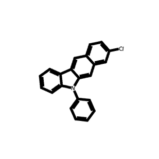 Clc1ccc2cc3c4ccccc4n(-c4ccccc4)c3cc2c1